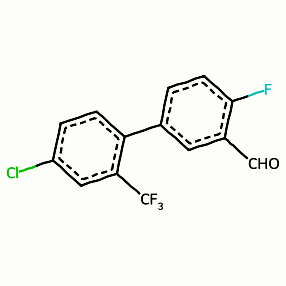 O=Cc1cc(-c2ccc(Cl)cc2C(F)(F)F)ccc1F